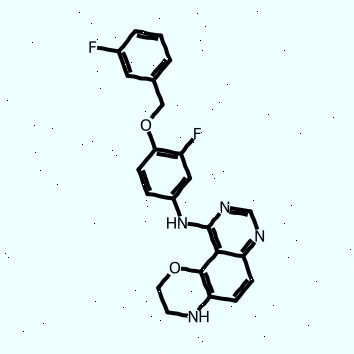 Fc1cccc(COc2ccc(Nc3ncnc4ccc5c(c34)OCCN5)cc2F)c1